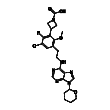 COc1c(CCNc2ncnc3c2ncn3C2CCCCO2)cc(Cl)c(F)c1C1CN(C(=O)O)C1